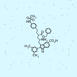 Cc1cc(C)cc(-c2[nH]c3ccc(C(=O)O)cc3c2CC(N)CC(CCc2ccc(NS(C)(=O)=O)cc2)C(=O)OCc2ccccc2)c1